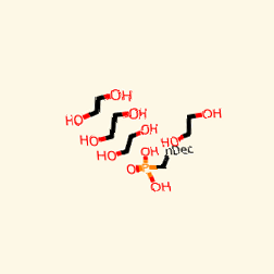 CCCCCCCCCCCP(=O)(O)O.OCCO.OCCO.OCCO.OCCO